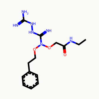 CCNC(=O)CON(OCCc1ccccc1)C(=N)NNC(=N)N